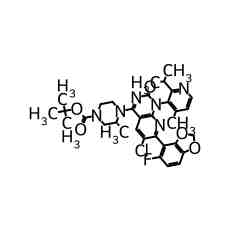 Cc1ccnc(C(C)C)c1-n1c(=O)nc(N2CCN(C(=O)OC(C)(C)C)C[C@@H]2C)c2cc(Cl)c(-c3c(F)ccc4c3OCO4)nc21